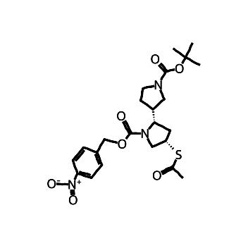 CC(=O)S[C@H]1C[C@@H](C2CCN(C(=O)OC(C)(C)C)C2)N(C(=O)OCc2ccc([N+](=O)[O-])cc2)C1